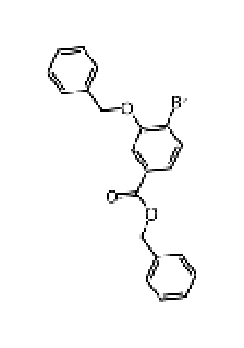 O=C(OCc1ccccc1)c1ccc(Br)c(OCc2ccccc2)c1